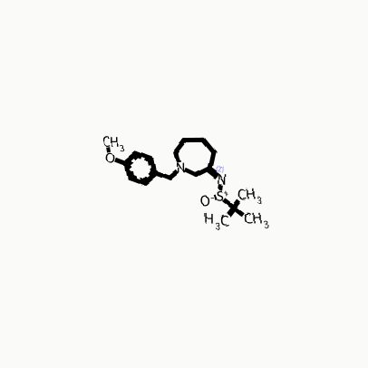 COc1ccc(CN2CCCC/C(=N/[S+]([O-])C(C)(C)C)C2)cc1